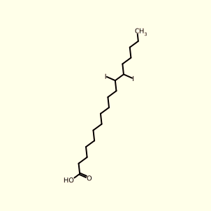 CCCCCC(I)C(I)CCCCCCCCCCC(=O)O